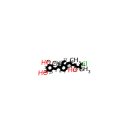 C=C1/C(=C\C=C2/CCC[C@]3(C)[C@@H]([C@H](C)CCC(O)C(C)CCl)CC[C@@H]23)C[C@@H](O)C[C@@H]1O